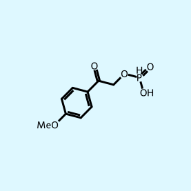 COc1ccc(C(=O)CO[PH](=O)O)cc1